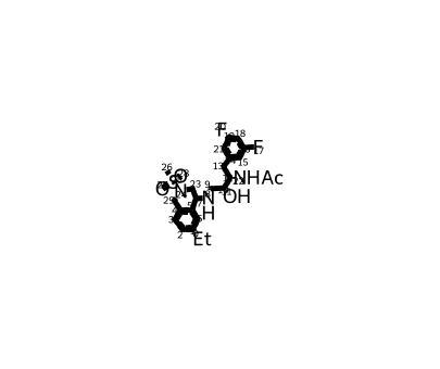 CCc1ccc2c(c1)C(NC[C@H](O)[C@H](Cc1cc(F)cc(F)c1)NC(C)=O)CN(S(C)(=O)=O)C2